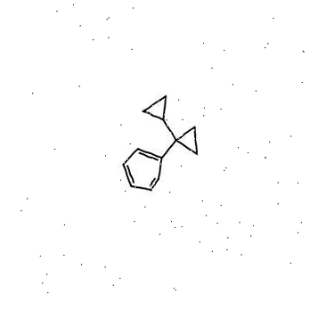 c1ccc(C2([C]3CC3)CC2)cc1